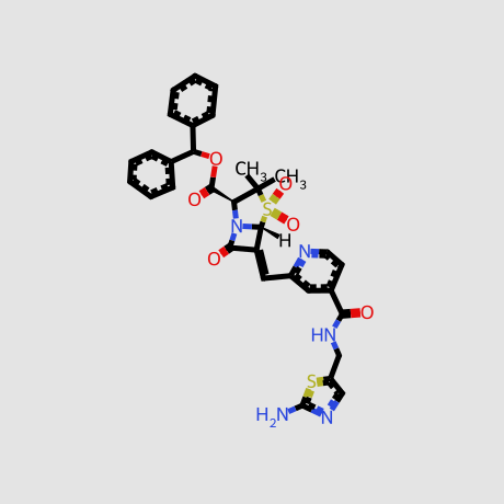 CC1(C)[C@H](C(=O)OC(c2ccccc2)c2ccccc2)N2C(=O)/C(=C/c3cc(C(=O)NCc4cnc(N)s4)ccn3)[C@H]2S1(=O)=O